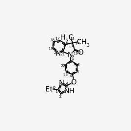 CCc1c[nH]c(Oc2ccc(N3C(=O)C(C)(C)c4cccnc43)cc2)n1